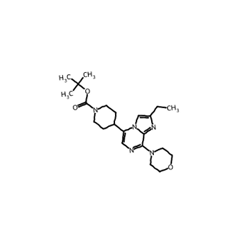 CCc1cn2c(C3CCN(C(=O)OC(C)(C)C)CC3)cnc(N3CCOCC3)c2n1